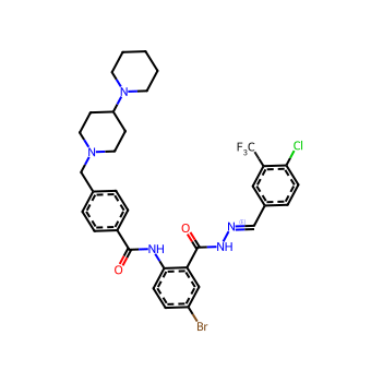 O=C(Nc1ccc(Br)cc1C(=O)N/N=C/c1ccc(Cl)c(C(F)(F)F)c1)c1ccc(CN2CCC(N3CCCCC3)CC2)cc1